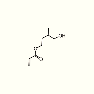 C=CC(=O)OCCC(C)CO